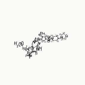 COCCNc1nc(Nc2ccc(S(=O)(=O)N3CCC(N4CCOCC4)CC3)cc2OC)nc2[nH]cc(C(F)(F)F)c12